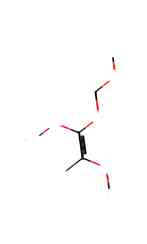 CCCCCCCCCCOCOC(OCCCCCCCC)=C(CCC)OCCCCCCCC